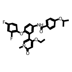 CCOc1cc(=O)n(C)cc1-c1cc(NC(=O)c2ccc(OC(C)C)cc2)ccc1Oc1ccc(F)cc1F